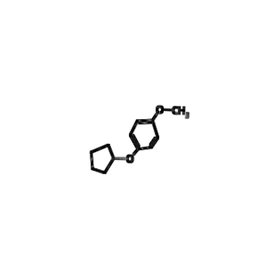 COc1ccc(OC2CCCC2)cc1